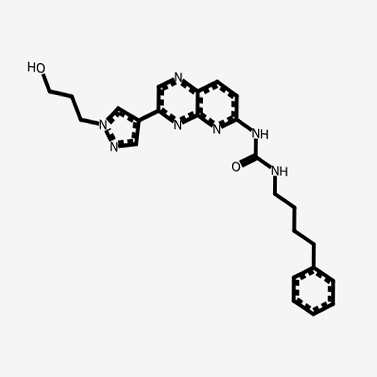 O=C(NCCCCc1ccccc1)Nc1ccc2ncc(-c3cnn(CCCO)c3)nc2n1